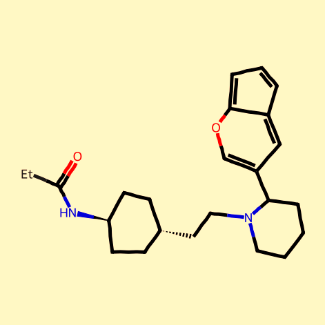 CCC(=O)N[C@H]1CC[C@H](CCN2CCCCC2c2coc3cccc-3c2)CC1